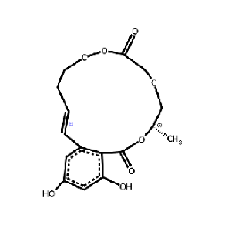 C[C@H]1CCCC(=O)OCCC/C=C/c2cc(O)cc(O)c2C(=O)O1